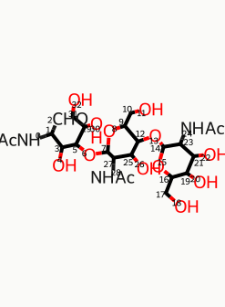 CC(=O)NC(C=O)C(O)C(OC1OC(CO)C(OC2OC(CO)C(O)C(O)C2NC(C)=O)C(O)C1NC(C)=O)C(O)CO